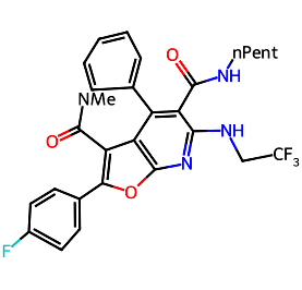 CCCCCNC(=O)c1c(NCC(F)(F)F)nc2oc(-c3ccc(F)cc3)c(C(=O)NC)c2c1-c1ccccc1